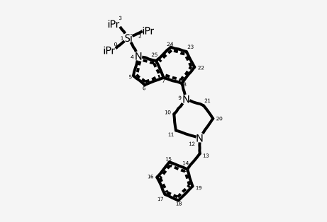 CC(C)[Si](C(C)C)(C(C)C)n1ccc2c(N3CCN(Cc4ccccc4)CC3)cccc21